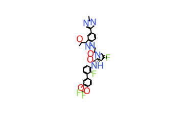 CC(=O)c1nn(CC(=O)N2C[C@H](F)C[C@H]2C(=O)Nc2cccc(-c3ccc4c(c3)OC(F)(F)O4)c2F)c2ccc(-c3cnc(C)nc3)cc12